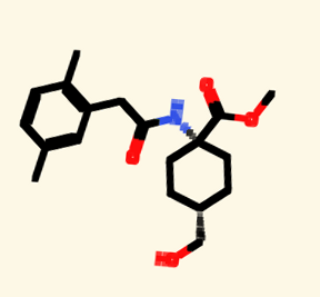 COC(=O)[C@]1(NC(=O)Cc2cc(C)ccc2C)CC[C@@H](CO)CC1